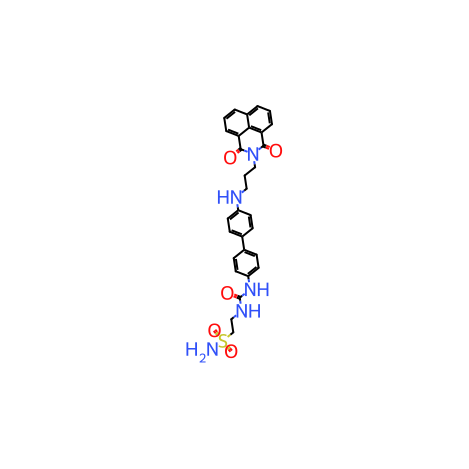 NS(=O)(=O)CCNC(=O)Nc1ccc(-c2ccc(NCCCN3C(=O)c4cccc5cccc(c45)C3=O)cc2)cc1